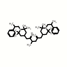 C=C(CC1CC(C)(C)N(CC(C)c2ccccc2)C(C)(C)C1)CC(C)C(=C)CC1CC(C)(C)N(CC(C)c2ccccc2)C(C)(C)C1